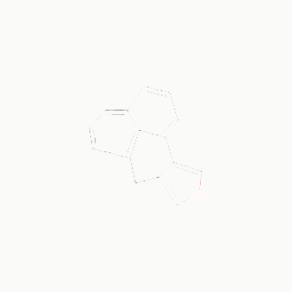 c1cc2c3c(cccc3c1)-c1cocc1C2